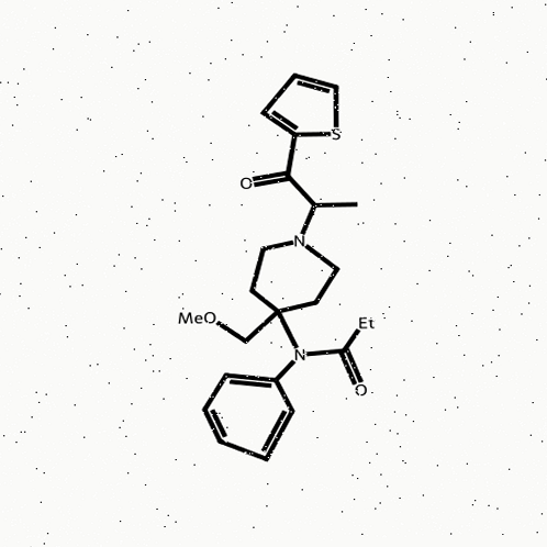 CCC(=O)N(c1ccccc1)C1(COC)CCN(C(C)C(=O)c2cccs2)CC1